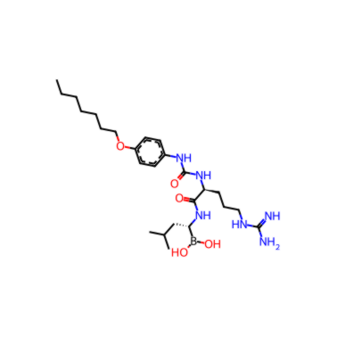 CCCCCCCOc1ccc(NC(=O)N[C@@H](CCCNC(=N)N)C(=O)N[C@@H](CC(C)C)B(O)O)cc1